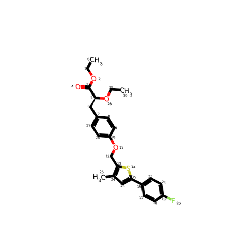 CCOC(=O)[C@H](Cc1ccc(OCc2sc(-c3ccc(F)cc3)cc2C)cc1)OCC